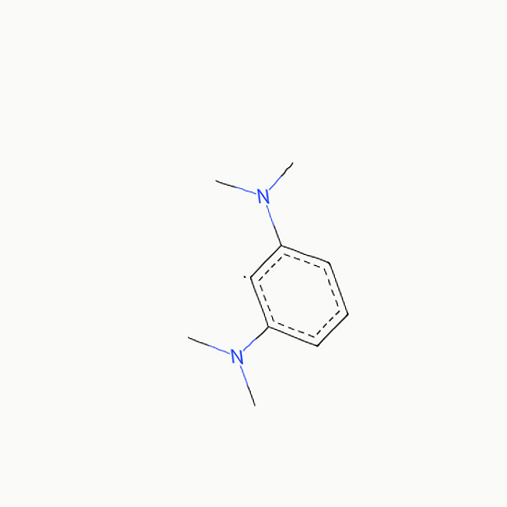 CN(C)c1[c]c(N(C)C)ccc1